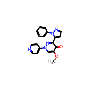 COc1cn(-c2ccncc2)nc(-c2ccnn2-c2ccccc2)c1=O